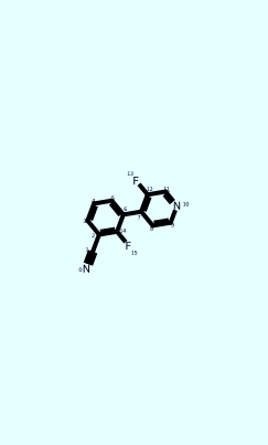 N#Cc1cccc(-c2ccn[c]c2F)c1F